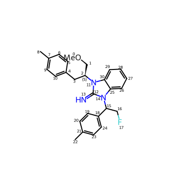 COC[C@H](Cc1ccc(C)cc1)n1c(=N)n(C(CF)c2ccc(C)cc2)c2ccccc21